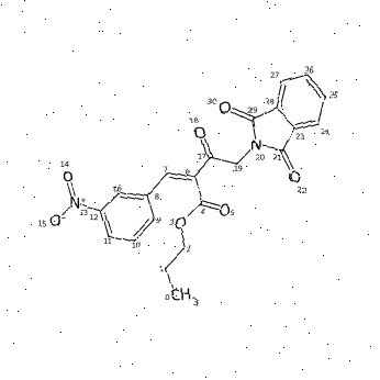 CCCOC(=O)C(=Cc1cccc([N+](=O)[O-])c1)C(=O)CN1C(=O)c2ccccc2C1=O